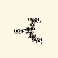 Cl.Cl.N=C(N)NCc1ccc(C(=O)NC[C@H]2C(=O)N(CC(=O)O)CCN2C(=O)CNC(=O)c2ccc(C(=N)N)cc2)cc1